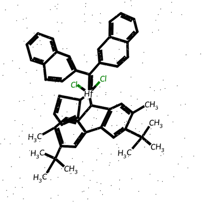 Cc1cc2c(cc1C(C)(C)C)-c1cc(C(C)(C)C)c(C)cc1[CH]2[Hf]([Cl])([Cl])(=[C](c1ccc2ccccc2c1)c1ccc2ccccc2c1)[CH]1C=CC=C1